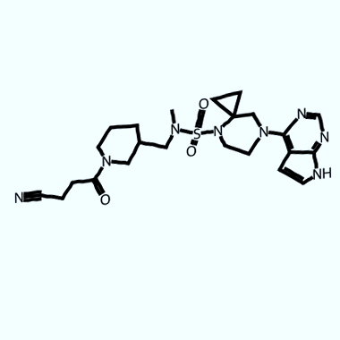 CN(CC1CCCN(C(=O)CCC#N)C1)S(=O)(=O)N1CCN(c2ncnc3[nH]ccc23)CC12CC2